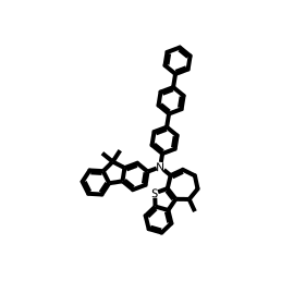 CC1CCC=C(N(c2ccc(-c3ccc(-c4ccccc4)cc3)cc2)c2ccc3c(c2)C(C)(C)c2ccccc2-3)c2sc3ccccc3c21